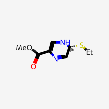 CCS[C@@H]1C=NC(C(=O)OC)=CN1